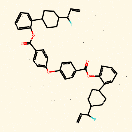 C=CC(F)C1CCC(c2ccccc2OC(=O)c2ccc(Oc3ccc(C(=O)Oc4ccccc4C4CCC(C(F)C=C)CC4)cc3)cc2)CC1